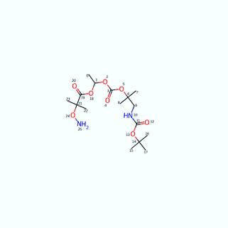 CC(OC(=O)OC(C)(C)CNC(=O)OC(C)(C)C)OC(=O)C(C)(C)ON